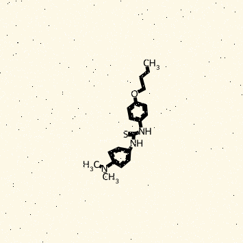 CCCCOc1ccc(NC(=S)Nc2ccc(N(C)C)cc2)cc1